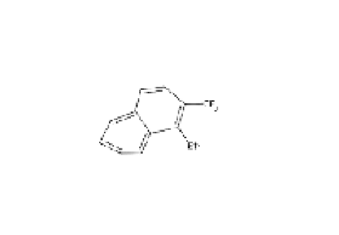 C[CH]c1c(C(F)(F)F)ccc2ccccc12